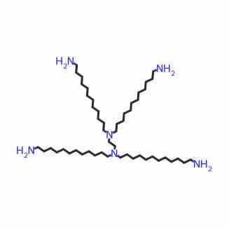 NCCCCCCCCCCCCN(CCCCCCCCCCCCN)CCN(CCCCCCCCCCCCN)CCCCCCCCCCCCN